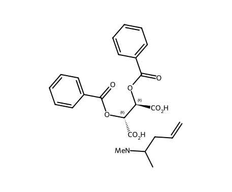 C=CCC(C)NC.O=C(O[C@@H](C(=O)O)[C@@H](OC(=O)c1ccccc1)C(=O)O)c1ccccc1